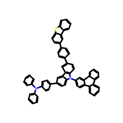 c1ccc(N(c2ccccc2)c2ccc(-c3ccc4c(c3)c3cc(-c5ccc(-c6ccc7sc8ccccc8c7c6)cc5)ccc3n4-c3ccc4c5ccccc5c5ccccc5c4c3)cc2)cc1